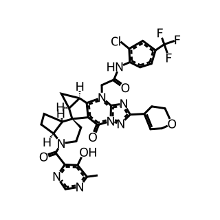 Cc1ncnc(C(=O)N2CC[C@@]3(c4c(n(CC(=O)Nc5ccc(C(F)(F)F)cc5Cl)c5nc(C6=CCOCC6)nn5c4=O)[C@@H]4C[C@@H]43)[C@@H]3CC[C@@H]32)c1O